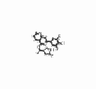 C[C@@H](Oc1nc(-c2cc(F)c(Cl)c(F)c2)cc2ncccc12)[C@H]1CNC(=O)C1